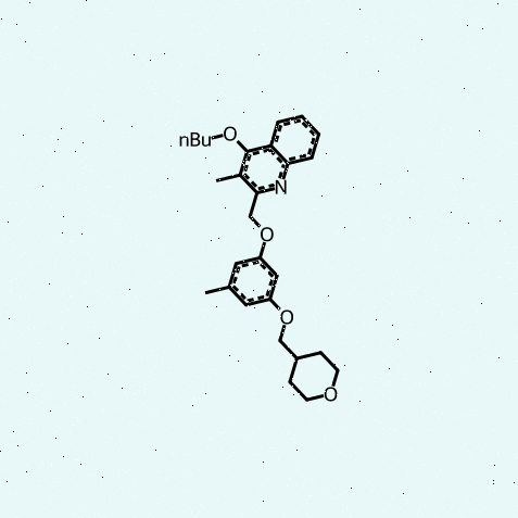 CCCCOc1c(C)c(COc2cc(C)cc(OCC3CCOCC3)c2)nc2ccccc12